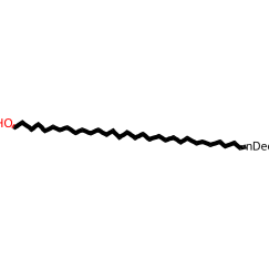 CCCCCCCCCCCCCCCCCCCCCCCCCCCCCCCCCCCCCCCCCO